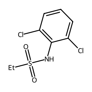 CCS(=O)(=O)Nc1c(Cl)cccc1Cl